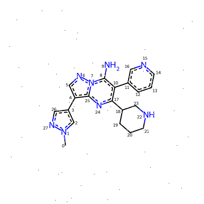 Cn1cc(-c2cnn3c(N)c(-c4cccnc4)c(C4CCCNC4)nc23)cn1